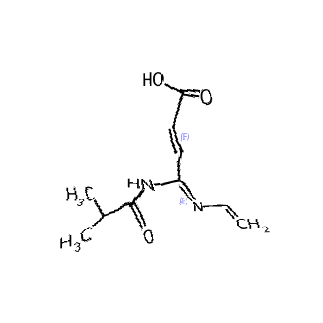 C=C/N=C(\C=C\C(=O)O)NC(=O)C(C)C